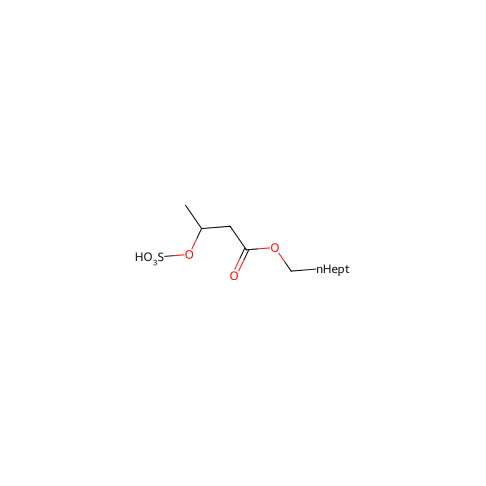 CCCCCCCCOC(=O)CC(C)OS(=O)(=O)O